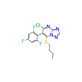 CCCCSc1c(-c2c(F)cc(F)cc2F)c(Cl)nc2ncnn12